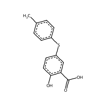 Cc1ccc(Sc2ccc(O)c(C(=O)O)c2)cc1